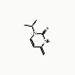 C=C1C=CN(C(C)C)C(=S)N1